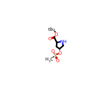 CC(C)(C)OC(=O)C1C[C@@H](OS(C)(=O)=O)CN1